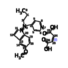 CCCN(c1ccncc1)n1ccc2cc(OC)ccc21.O=C(O)/C=C\C(=O)O